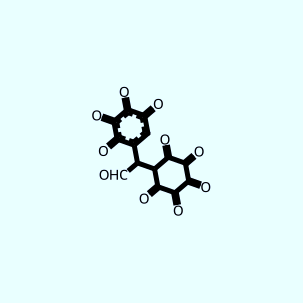 O=CC(c1cc(=O)c(=O)c(=O)c1=O)C1C(=O)C(=O)C(=O)C(=O)C1=O